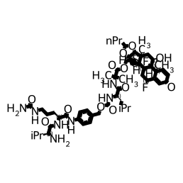 CCCC1O[C@@H]2C[C@H]3[C@@H]4C[C@H](F)C5=CC(=O)C=C[C@]5(C)[C@@]4(F)[C@@H](O)C[C@]3(C)[C@]2(C(=O)COC(=O)C(C)(C)NC(=O)[C@H](CC(C)C)NC(=O)OCc2ccc(NC(=O)[C@H](CCCNC(N)=O)NC(=O)[C@@H](N)C(C)C)cc2)O1